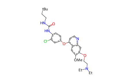 CCN(CC)CCOc1cc2nccc(Oc3ccc(NC(=O)NCCC(C)(C)C)c(Cl)c3)c2cc1OC